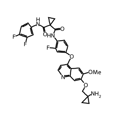 COc1cc2c(Oc3ccc(NC(=O)C4(C(=O)Nc5ccc(F)c(F)c5)CC4)c(F)c3)ccnc2cc1OCC1(N)CC1